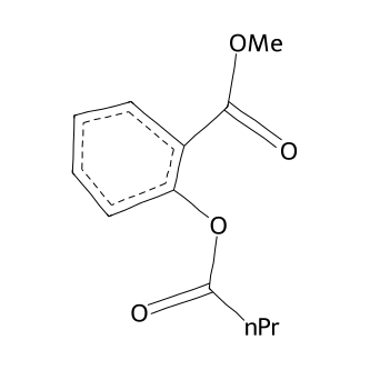 [CH2]CCC(=O)Oc1ccccc1C(=O)OC